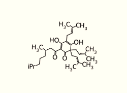 CC(C)=CCC1=C(O)C(CC=C(C)C)(CC=C(C)C)C(=O)C(C(=O)CC(C)CCCC(C)C)=C1O